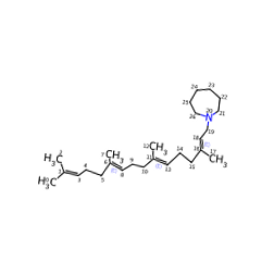 CC(C)=CCC/C(C)=C/CC/C(C)=C/CC/C(C)=C/CN1CCCCCC1